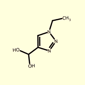 CCn1cc(C(O)O)nn1